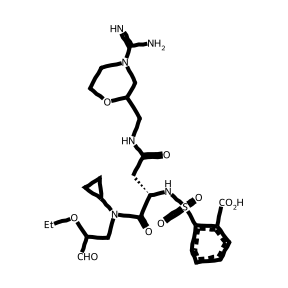 CCOC(C=O)CN(C(=O)[C@H](CC(=O)NCC1CN(C(=N)N)CCO1)NS(=O)(=O)c1ccccc1C(=O)O)C1CC1